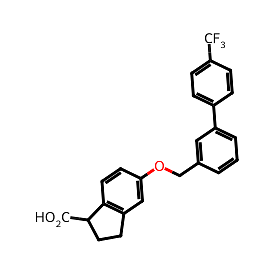 O=C(O)C1CCc2cc(OCc3cccc(-c4ccc(C(F)(F)F)cc4)c3)ccc21